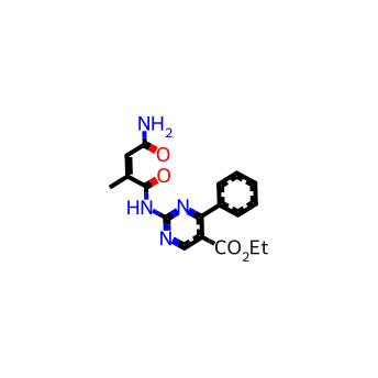 CCOC(=O)c1cnc(NC(=O)/C(C)=C\C(N)=O)nc1-c1ccccc1